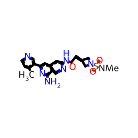 CNS(=O)(=O)N1CC(=CC(=O)Nc2cc3cc(-c4cnccc4C)nc(N)c3cn2)C1